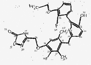 CCOc1cccc(-c2nc(Cc3c(C)cc(OCc4noc(=O)[nH]4)c(F)c3C)ccc2O)c1F